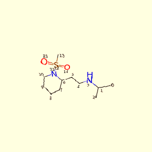 CC(C)NCCC1CCCCN1S(C)(=O)=O